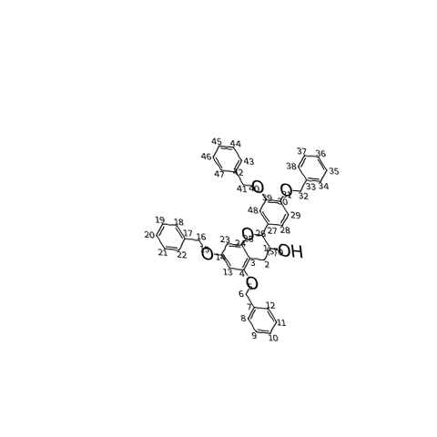 O[C@H]1Cc2c(OCc3ccccc3)cc(OCc3ccccc3)cc2OC1c1ccc(OCc2ccccc2)c(OCc2ccccc2)c1